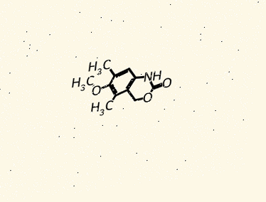 COc1c(C)cc2c(c1C)COC(=O)N2